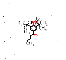 CCCCC(=O)c1cc(C(C)(C)C)c(O)c(C(C)(C)C)c1